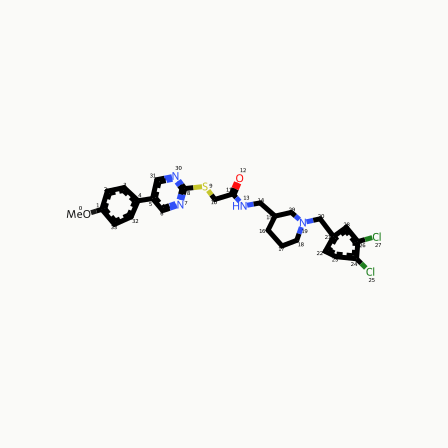 COc1ccc(-c2cnc(SCC(=O)NCC3CCCN(Cc4ccc(Cl)c(Cl)c4)C3)nc2)cc1